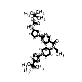 CCN(C(=O)c1cnc(N2CC[C@@H](NC(=O)OC(C)(C)C)C2)nc1)C1CCN(c2nc(C(C)(C)C)no2)CC1